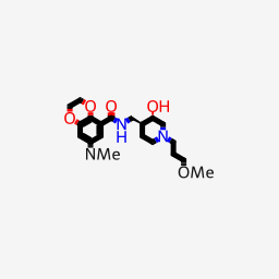 CNc1cc2c(c(C(=O)NC[C@@H]3CCN(CCCOC)C[C@H]3O)c1)OCCO2